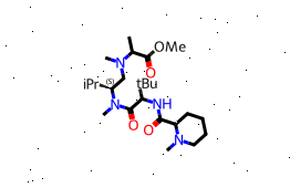 COC(=O)C(C)N(C)C[C@H](C(C)C)N(C)C(=O)C(NC(=O)C1CCCCN1C)C(C)(C)C